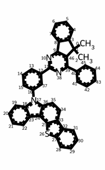 CC1(C)c2ccccc2-c2nc(-c3cccc(-n4c5ccccc5c5c6sc7ccccc7c6ccc54)c3)nc(-c3ccccc3)c21